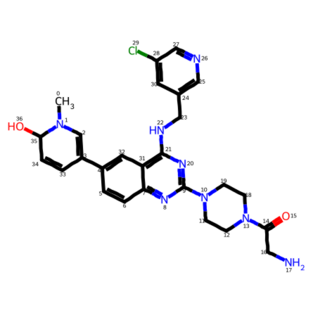 CN1C=C(c2ccc3nc(N4CCN(C(=O)CN)CC4)nc(NCc4cncc(Cl)c4)c3c2)C=CC1O